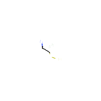 Cl.Cl.NCCSS